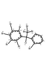 ClC(c1ccccc1Br)(c1c(Br)c(Br)c(Br)c(Br)c1Br)C(Br)(Br)Br